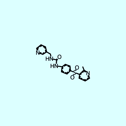 Cc1ncccc1S(=O)(=O)c1ccc(NC(=O)NCc2cccnc2)cc1